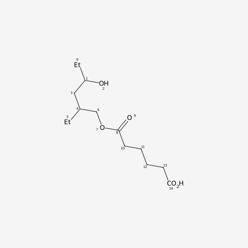 CCC(O)CC(CC)COC(=O)CCCCC(=O)O